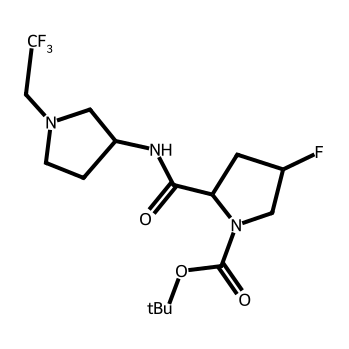 CC(C)(C)OC(=O)N1CC(F)CC1C(=O)NC1CCN(CC(F)(F)F)C1